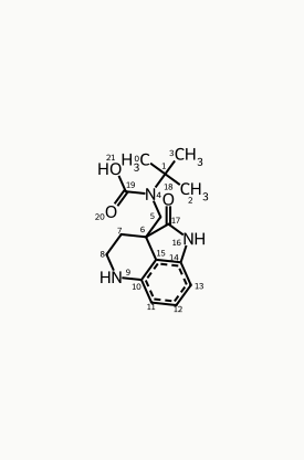 CC(C)(C)N(CC12CCNc3cccc(c31)NC2=O)C(=O)O